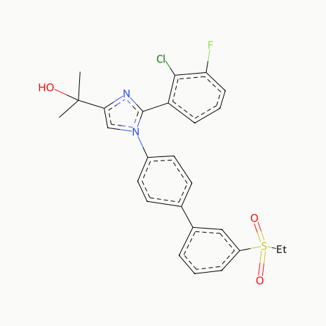 CCS(=O)(=O)c1cccc(-c2ccc(-n3cc(C(C)(C)O)nc3-c3cccc(F)c3Cl)cc2)c1